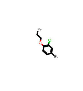 CCc1ccc(OCCC(C)C)c(Cl)c1